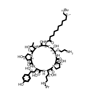 CC[C@H](C)C[C@H](C)CCCCCCCCC(=O)N[C@H]1C[C@@H](O)[C@@H](OCCN)NC(=O)[C@@H]2[C@@H](O)CCN2C(=O)[C@H]([C@H](O)CCNC(C)C)NC(=O)[C@H]([C@H](O)[C@@H](O)c2ccc(O)cc2)NC(=O)[C@@H]2C[C@@H](O)CN2C(=O)C(C(C)O)NC1=O